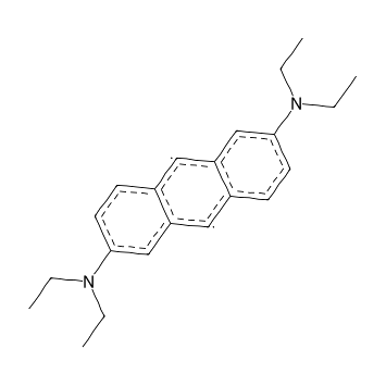 CCN(CC)c1ccc2[c]c3cc(N(CC)CC)ccc3[c]c2c1